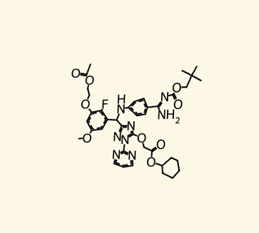 COc1cc(OCCOC(C)=O)c(F)c(C(Nc2ccc(C(N)=NC(=O)OCC(C)(C)C)cc2)c2nc(OCC(=O)OC3CCCCC3)n(-c3ncccn3)n2)c1